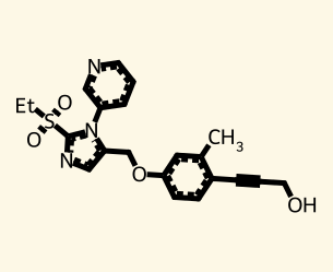 CCS(=O)(=O)c1ncc(COc2ccc(C#CCO)c(C)c2)n1-c1cccnc1